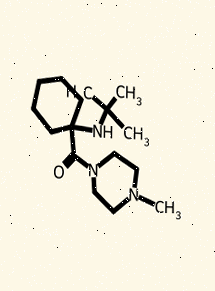 CN1CCN(C(=O)C2(NC(C)(C)C)CCCCC2)CC1